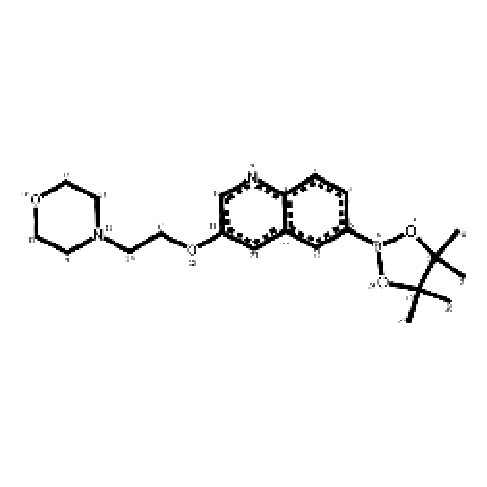 CC1(C)OB(c2ccc3ncc(OCCN4CCOCC4)cc3c2)OC1(C)C